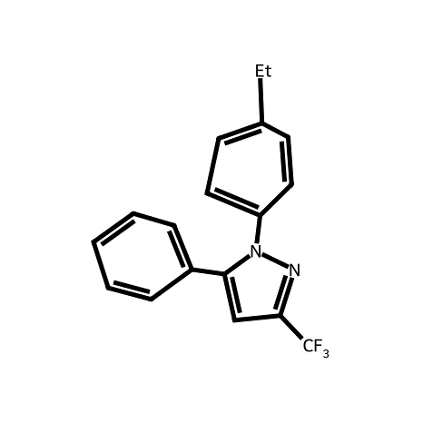 [CH2]Cc1ccc(-n2nc(C(F)(F)F)cc2-c2ccccc2)cc1